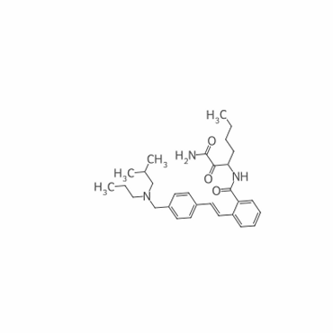 CCCCC(NC(=O)c1ccccc1/C=C/c1ccc(CN(CCC)CC(C)C)cc1)C(=O)C(N)=O